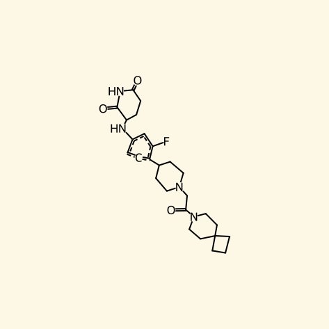 O=C1CCC(Nc2ccc(C3CCN(CC(=O)N4CCC5(CCC5)CC4)CC3)c(F)c2)C(=O)N1